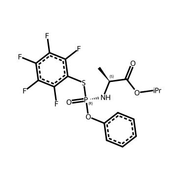 CC(C)OC(=O)[C@H](C)N[P@@](=O)(Oc1ccccc1)Sc1c(F)c(F)c(F)c(F)c1F